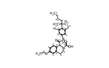 CCOCC(C)(C)c1c(F)cc(NC(=O)[C@@H]2c3ccc(OCC)cc3CCN2C(=O)O)cc1F